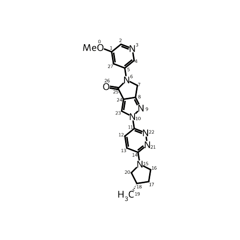 COc1cncc(N2Cc3nn(-c4ccc(N5CC[C@H](C)C5)nn4)cc3C2=O)c1